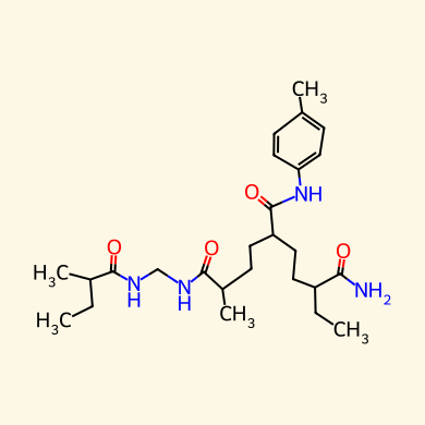 CCC(C)C(=O)NCNC(=O)C(C)CCC(CCC(CC)C(N)=O)C(=O)Nc1ccc(C)cc1